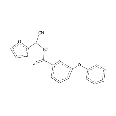 N#CC(NC(=O)c1cccc(Oc2ccccc2)c1)c1ccco1